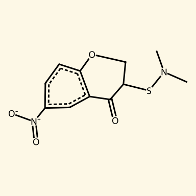 CN(C)SC1COc2ccc([N+](=O)[O-])cc2C1=O